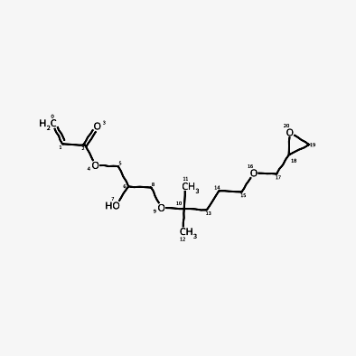 C=CC(=O)OCC(O)COC(C)(C)CCCOCC1CO1